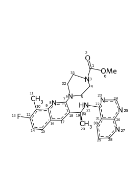 COC(=O)N1CCN(c2nc3c(C)c(F)ccc3cc2[C@H](C)Nc2ncnc3ncccc23)CC1